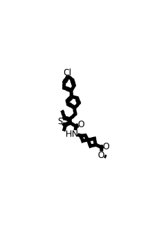 COC(=O)C1CC2(CC(NC(=O)c3c(C)sc(C)c3Cc3ccc(-c4ccc(Cl)cc4)cc3)C2)C1